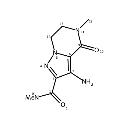 CNC(=O)c1nn2c(c1N)C(=O)N(C)CC2